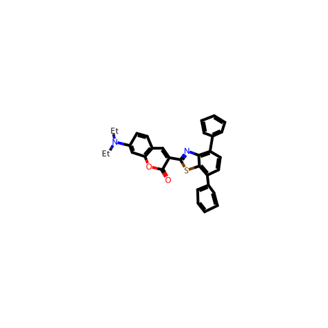 CCN(CC)c1ccc2cc(-c3nc4c(-c5ccccc5)ccc(-c5ccccc5)c4s3)c(=O)oc2c1